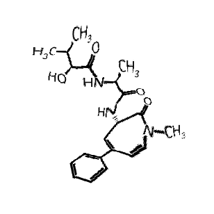 CC(C)[C@H](O)C(=O)N[C@@H](C)C(=O)N[C@H]1C=C(c2ccccc2)C=CN(C)C1=O